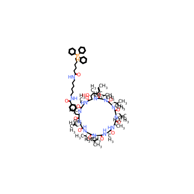 C/C=C/C[C@@H](C)[C@@H](O)[C@H]1C(=O)N[C@@H](CC)C(=O)N(C)C(Cc2ccc(C(=O)NCCCCCCNC(=O)CCCCC[PH](c3ccccc3)(c3ccccc3)c3ccccc3)cc2)C(=O)N(C)[C@@H](CC(C)C)C(=O)N[C@@H](C(C)C)C(=O)N(C)[C@@H](CC(C)C)C(=O)N[C@@H](C)C(=O)N[C@H](C)C(=O)N(C)[C@@H](CC(C)C)C(=O)N(C)[C@@H](CC(C)C)C(=O)N(C)[C@@H](C(C)C)C(=O)N1C